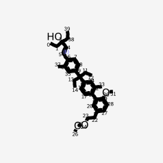 CCC(O)(/C=C/c1ccc(C(CC)(CC)c2ccc(-c3cc(CCOOC)ccc3OC)c(C)c2)cc1C)CC